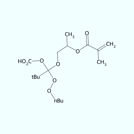 C=C(C)C(=O)OC(C)COC(OOCCCC)(OC(=O)O)C(C)(C)C